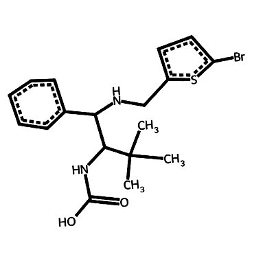 CC(C)(C)C(NC(=O)O)C(NCc1ccc(Br)s1)c1ccccc1